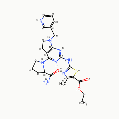 CCOC(=O)c1sc(Nc2nc3c(c(N4CCCC4C(N)=O)n2)CCN3Cc2cccnc2)nc1C